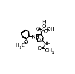 CC(=O)Nc1cccc([As](=O)(O)OO)c1.COc1ccccc1N